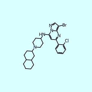 Clc1ccccc1-c1cc(NC2CCN(C3CCC4CCCCC4C3)CC2)n2ncc(Br)c2n1